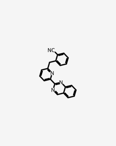 N#Cc1ccccc1Cc1cccc(-c2ncc3ccccc3n2)n1